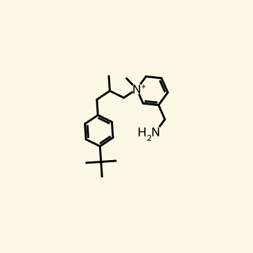 CC(Cc1ccc(C(C)(C)C)cc1)C[N+]1(C)C=C(CN)C=CC1